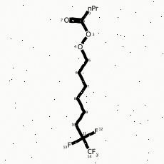 CCCC(=O)OOCCCCCCC(F)(F)C(F)(F)F